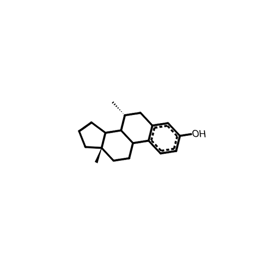 C[C@@H]1Cc2cc(O)ccc2C2CC[C@]3(C)CCCC3C21